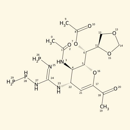 CC(=O)N[C@H]1[C@H]([C@H](OC(C)=O)[C@H]2COCO2)OC(C(C)=O)=C[C@@H]1NC(=NP)NPP